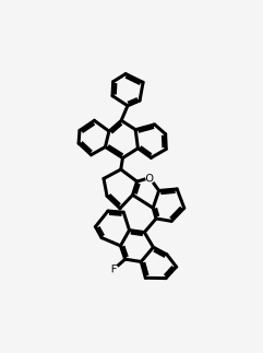 Fc1c2ccccc2c(-c2cccc3oc4c(c23)C=CCC4c2c3ccccc3c(-c3ccccc3)c3ccccc23)c2ccccc12